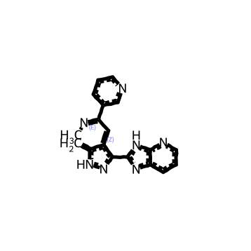 C=c1[nH]nc(-c2nc3cccnc3[nH]2)/c1=C/C(=N\C)c1cccnc1